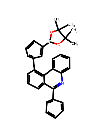 CC1(C)OB(c2cccc(-c3cccc4c(-c5ccccc5)nc5ccccc5c34)c2)OC1(C)C